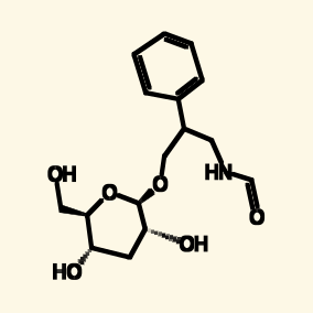 O=CNCC(CO[C@@H]1O[C@H](CO)[C@@H](O)C[C@H]1O)c1ccccc1